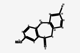 COc1ccc2c(c1)C(=O)Cc1ccc(F)cc1S2